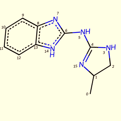 CC1CNC(Nc2nc3ccccc3[nH]2)=N1